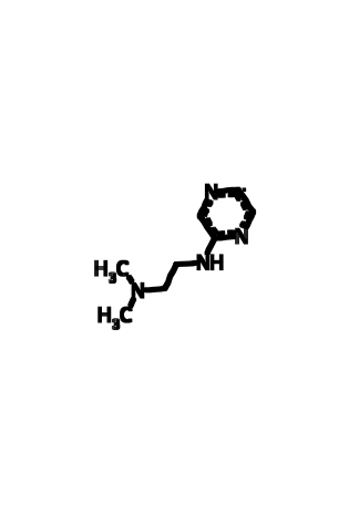 CN(C)CCNc1cn[c]cn1